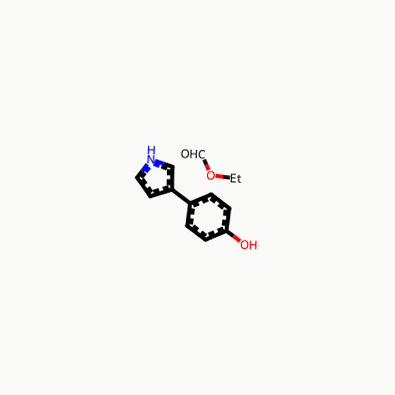 CCOC=O.Oc1ccc(-c2cc[nH]c2)cc1